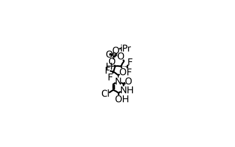 CC(C)OP1(=O)OC[C@@]2(C(F)F)O[C@@H](N3C=C(Cl)C(O)NC3=O)C(F)(F)[C@@H]2O1